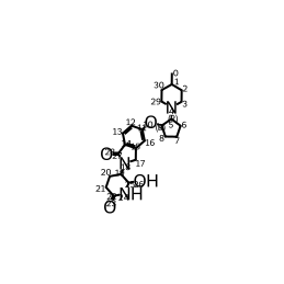 CC1CCN([C@@H]2CCC[C@H]2Oc2ccc3c(c2)CN(C2CCC(=O)NC2O)C3=O)CC1